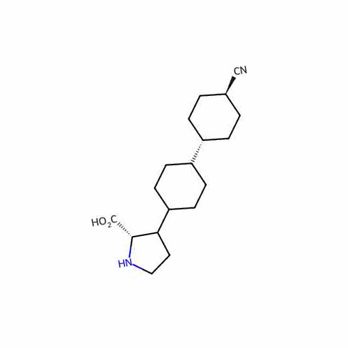 N#C[C@H]1CC[C@H](C2CCC(C3CCN[C@@H]3C(=O)O)CC2)CC1